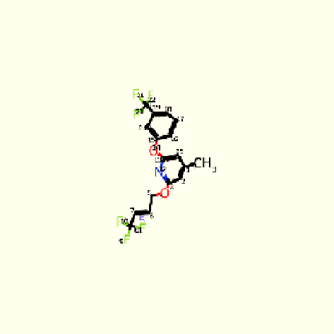 Cc1cc(OC/C=C/C(F)(F)F)nc(Oc2cccc(C(F)(F)F)c2)c1